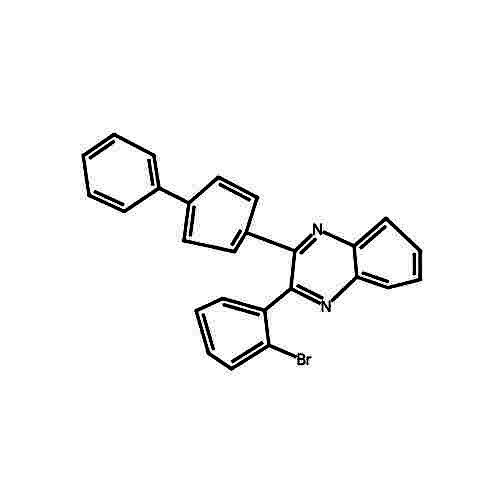 Brc1ccccc1-c1nc2ccccc2nc1-c1ccc(-c2ccccc2)cc1